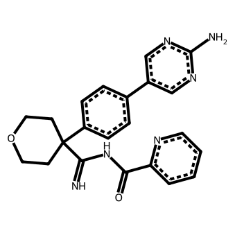 N=C(NC(=O)c1ccccn1)C1(c2ccc(-c3cnc(N)nc3)cc2)CCOCC1